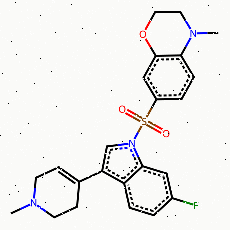 CN1CC=C(c2cn(S(=O)(=O)c3ccc4c(c3)OCCN4C)c3cc(F)ccc23)CC1